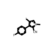 Cn1cc(I)c(-c2ccc(F)cc2)c1C#N